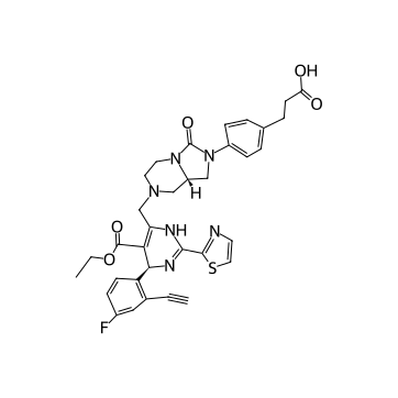 C#Cc1cc(F)ccc1[C@@H]1N=C(c2nccs2)NC(CN2CCN3C(=O)N(c4ccc(CCC(=O)O)cc4)C[C@@H]3C2)=C1C(=O)OCC